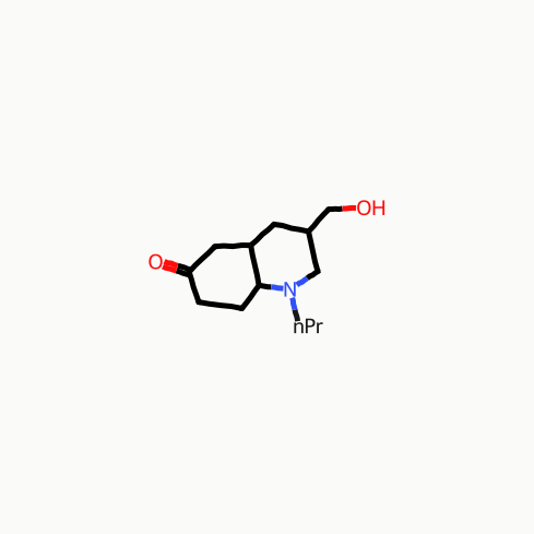 CCCN1CC(CO)CC2CC(=O)CCC21